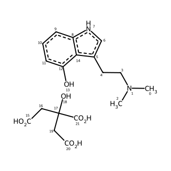 CN(C)CCc1c[nH]c2cccc(O)c12.O=C(O)CC(O)(CC(=O)O)C(=O)O